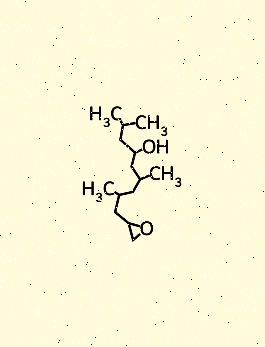 CC(C)CC(O)CC(C)CC(C)CC1CO1